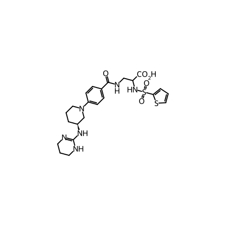 O=C(NCC(NS(=O)(=O)c1cccs1)C(=O)O)c1ccc(N2CCC[C@H](NC3=NCCCN3)C2)cc1